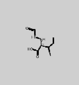 CCC(C)[C@H](NNC=O)C(=O)O